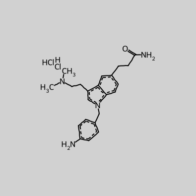 CN(C)CCc1cn(Cc2ccc(N)cc2)c2ccc(CCC(N)=O)cc12.Cl.Cl